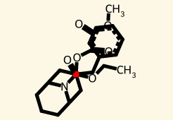 CCOC(=O)N1C2CCCC1CC(Cc1ccccc1)(OC(=O)C(=O)OC)C2